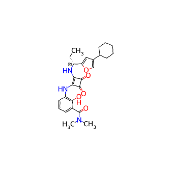 CC[C@@H](Nc1c(Nc2cccc(C(=O)N(C)C)c2O)c(=O)c1=O)c1cc(C2CCCCC2)co1